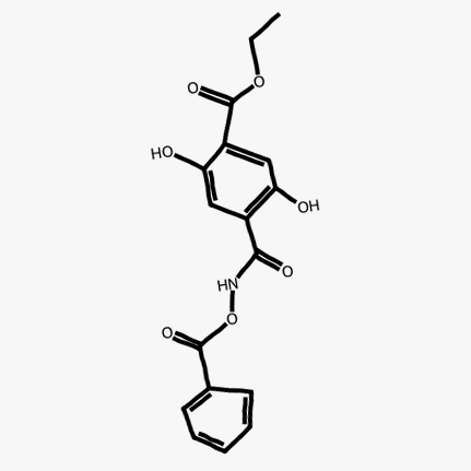 CCOC(=O)c1cc(O)c(C(=O)NOC(=O)c2ccccc2)cc1O